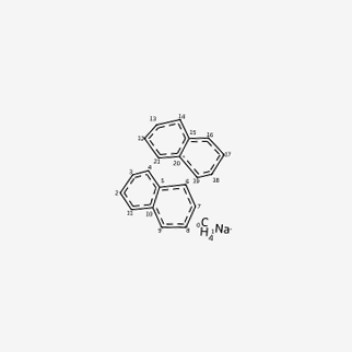 C.[Na].c1ccc2ccccc2c1.c1ccc2ccccc2c1